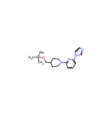 CC(C)(C)[Si](C)(C)OCC1CCN(c2cccc(-n3ccnc3)n2)CC1